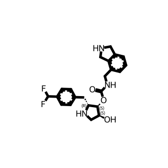 O=C(NCc1cccc2c1CNC2)O[C@@H]1[C@@H](O)CN[C@@H]1Cc1ccc(C(F)F)cc1